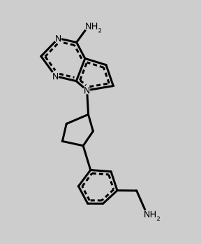 NCc1cccc(C2CCC(n3ccc4c(N)ncnc43)C2)c1